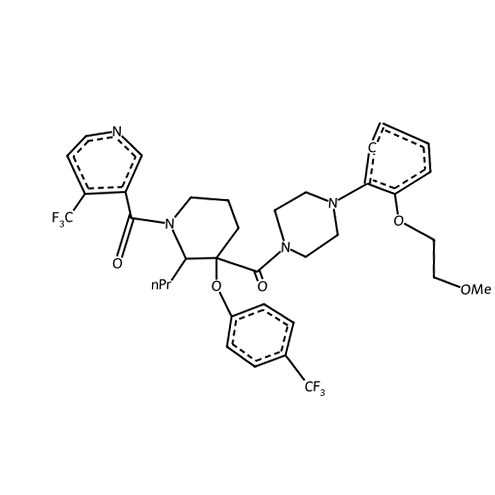 CCCC1N(C(=O)c2cnccc2C(F)(F)F)CCCC1(Oc1ccc(C(F)(F)F)cc1)C(=O)N1CCN(c2ccccc2OCCOC)CC1